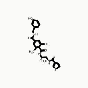 Cc1cc(C(=O)NCc2cccc(O)c2)cc(C)c1C(=O)N[C@@H](CNC(=O)c1ccsc1)C(=O)O